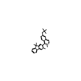 Cc1cc2c(cc1-c1c3ccc(CC(C)(C)C)cc3cc[n+]1C)C(C)(C)c1ccccc1-2